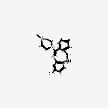 CN1CCN(/C2=N/c3cc(Cl)ccc3NCc3ccccc32)CC1